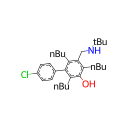 CCCCc1c(O)c(CCCC)c(-c2ccc(Cl)cc2)c(CCCC)c1CNC(C)(C)C